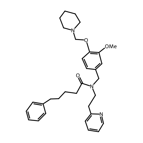 COc1cc(CN(CCc2ccccn2)C(=O)CCCCc2ccccc2)ccc1OCN1CCCCC1